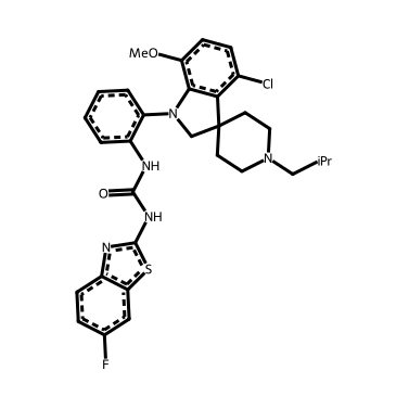 COc1ccc(Cl)c2c1N(c1ccccc1NC(=O)Nc1nc3ccc(F)cc3s1)CC21CCN(CC(C)C)CC1